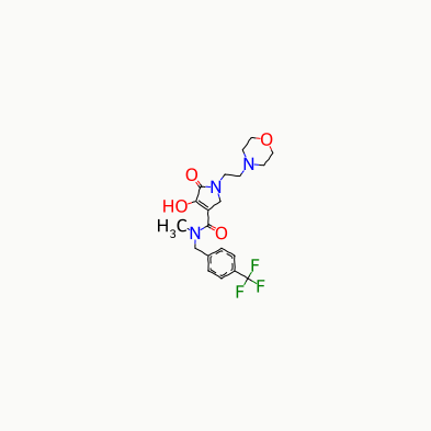 CN(Cc1ccc(C(F)(F)F)cc1)C(=O)C1=C(O)C(=O)N(CCN2CCOCC2)C1